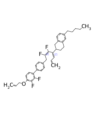 C=C/C=C(\C(F)=C(\F)Cc1ccc(-c2ccc(OCC=C)c(F)c2F)cc1)C1CCc2cc(CCCCC)ccc2C1